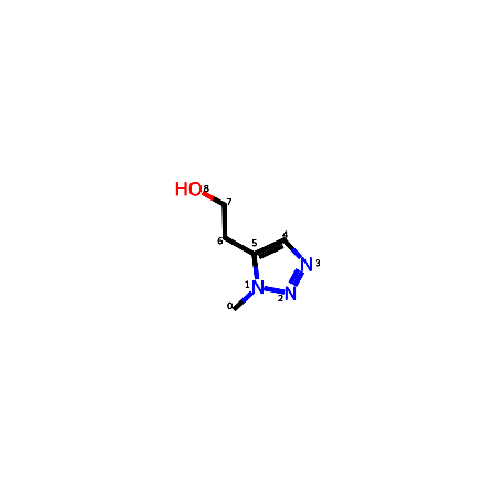 Cn1nncc1CCO